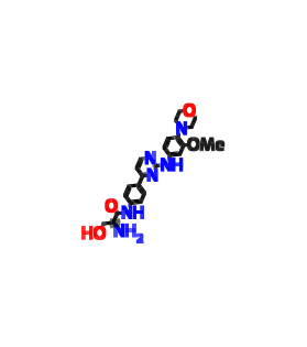 COc1cc(Nc2nccc(-c3ccc(NC(=O)[C@@H](N)CO)cc3)n2)ccc1N1CCOCC1